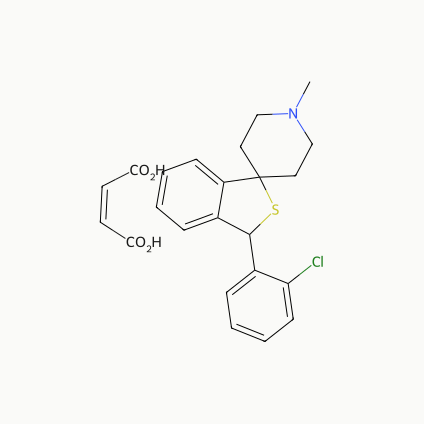 CN1CCC2(CC1)SC(c1ccccc1Cl)c1ccccc12.O=C(O)/C=C\C(=O)O